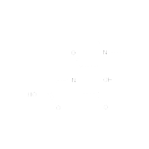 CN(C)CC(=O)N(CC(=O)O)CC(=O)O